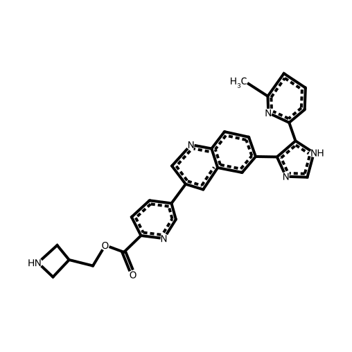 Cc1cccc(-c2[nH]cnc2-c2ccc3ncc(-c4ccc(C(=O)OCC5CNC5)nc4)cc3c2)n1